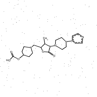 CC1C(CN2CCC(OC(=O)O)CC2)OC(=O)N1N1CCN(c2ccncc2)CC1